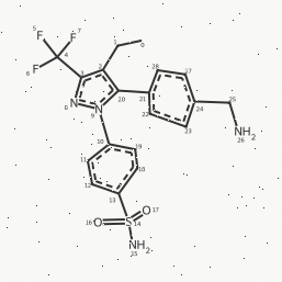 CCc1c(C(F)(F)F)nn(-c2ccc(S(N)(=O)=O)cc2)c1-c1ccc(CN)cc1